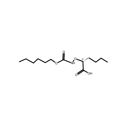 CCCCCCOC(=O)NO[C@H](CCCC)C(=O)O